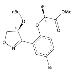 CCCCO[C@@H]1CON=C1c1cc(Br)ccc1O[C@H](C(=O)OC)C(C)C